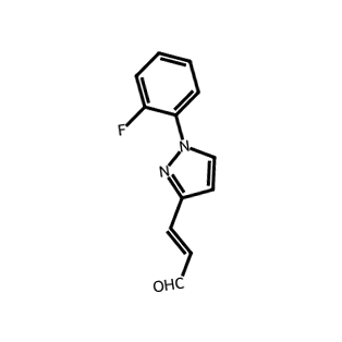 O=C/C=C/c1ccn(-c2ccccc2F)n1